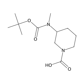 CN(C(=O)OC(C)(C)C)C1CCCN(C(=O)O)C1